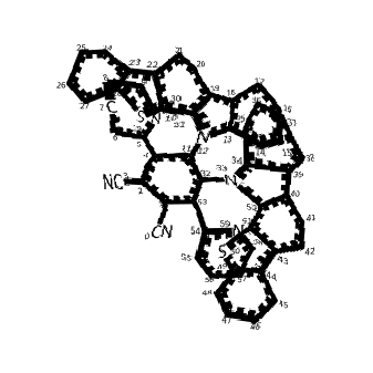 N#Cc1c(C#N)c(-c2ccccn2)c(-n2c3ccccc3c3ccc4c5ccccc5sc4c32)c(-n2c3ccccc3c3ccc4c5ccccc5sc4c32)c1-c1ccccn1